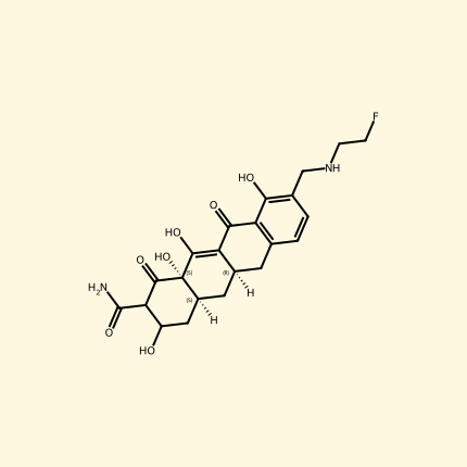 NC(=O)C1C(=O)[C@@]2(O)C(O)=C3C(=O)c4c(ccc(CNCCF)c4O)C[C@H]3C[C@H]2CC1O